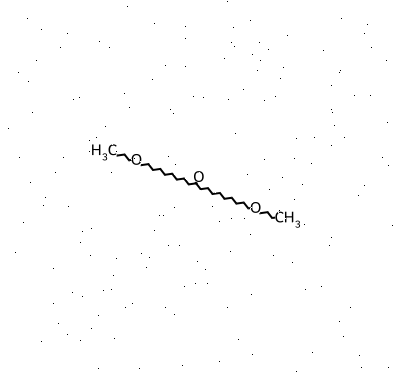 CCCCOCCCCCCCCCC(=O)CCCCCCCCCOCCCC